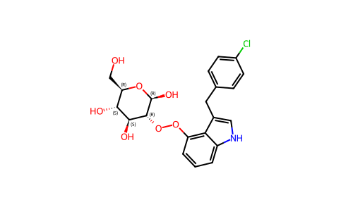 OC[C@H]1O[C@@H](O)[C@H](OOc2cccc3[nH]cc(Cc4ccc(Cl)cc4)c23)[C@@H](O)[C@@H]1O